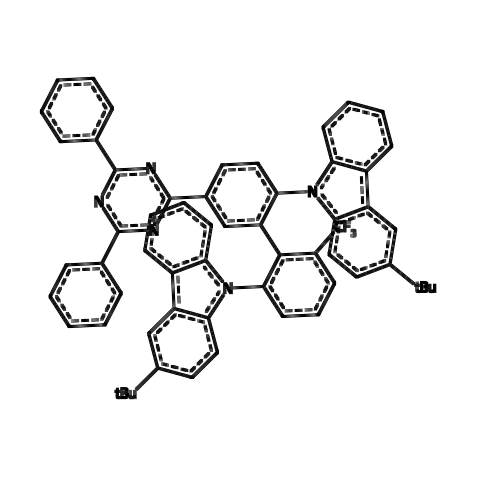 CC(C)(C)c1ccc2c(c1)c1ccccc1n2-c1ccc(-c2nc(-c3ccccc3)nc(-c3ccccc3)n2)cc1-c1c(-n2c3ccccc3c3cc(C(C)(C)C)ccc32)cccc1C(F)(F)F